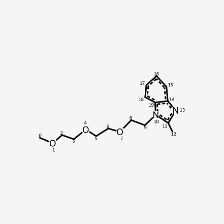 COCCOCCOCCn1c(C)nc2ccccc21